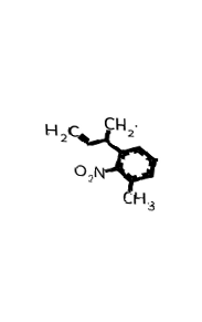 [CH2]C(C=C)c1cccc(C)c1[N+](=O)[O-]